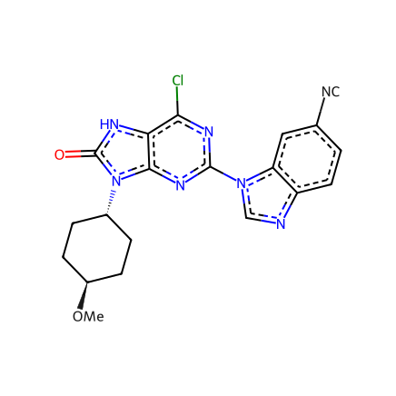 [C-]#[N+]c1ccc2ncn(-c3nc(Cl)c4[nH]c(=O)n([C@H]5CC[C@H](OC)CC5)c4n3)c2c1